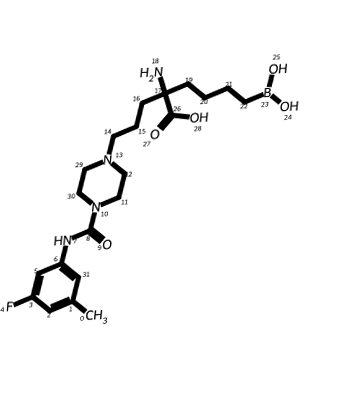 Cc1cc(F)cc(NC(=O)N2CCN(CCCC(N)(CCCCB(O)O)C(=O)O)CC2)c1